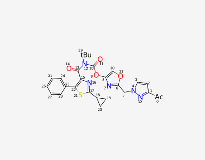 CC(=O)c1ccn(Cc2nc(OC(=O)N(C(=O)c3nc(C4CC4)sc3-c3ccccc3)C(C)(C)C)co2)n1